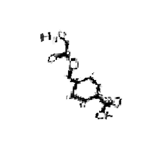 CCC(=O)OCC1CCC(C(=O)O)CC1